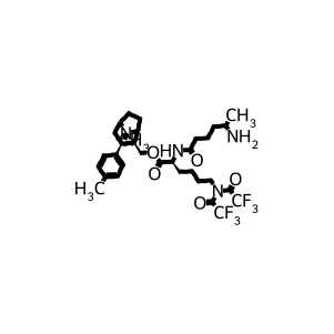 Cc1ccc([C@H]2CC3CCC([C@H]2COC(=O)[C@H](CCCCN(C(=O)C(F)(F)F)C(=O)C(F)(F)F)NC(=O)CCCC(C)N)N3C)cc1